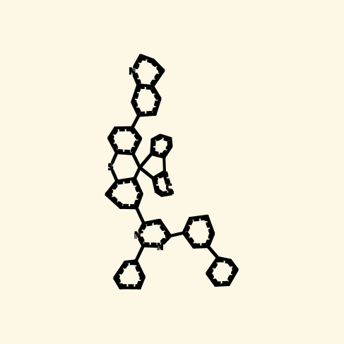 c1ccc(-c2cccc(-c3cc(-c4ccc5c(c4)C4(c6cc(-c7ccc8cccnc8c7)ccc6S5)c5ccccc5-c5ccccc54)nc(-c4ccccc4)n3)c2)cc1